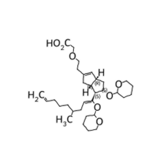 C=CCCCC(C)CC=C(OC1CCCCO1)[C@H]1[C@@H]2CC(CCOCC(=O)O)=C[C@@H]2C[C@@H]1OC1CCCCO1